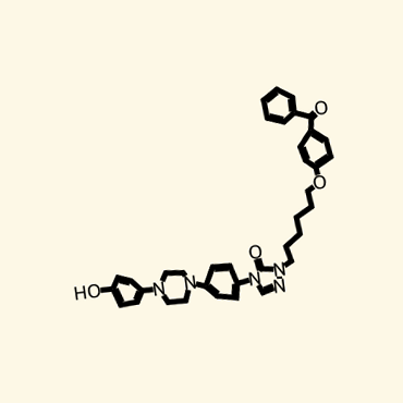 O=C(c1ccccc1)c1ccc(OCCCCCCn2ncn(-c3ccc(N4CCN(c5ccc(O)cc5)CC4)cc3)c2=O)cc1